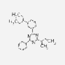 C=CC(=C)c1nc(-c2ccccc2)nc(-c2cccc(/C(C=C)=C/C)c2)n1